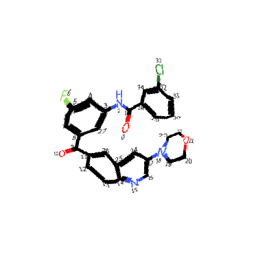 O=C(Nc1cc(F)cc(C(=O)c2ccc3ncc(N4CCOCC4)cc3c2)c1)c1cccc(Cl)c1